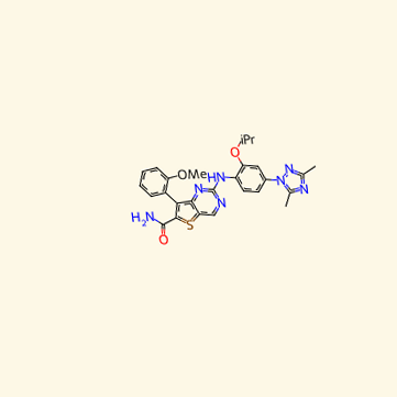 COc1ccccc1-c1c(C(N)=O)sc2cnc(Nc3ccc(-n4nc(C)nc4C)cc3OC(C)C)nc12